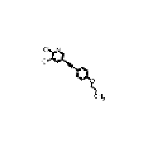 CCCOc1ccc(C#Cc2cnc(Cl)c(Cl)c2)cc1